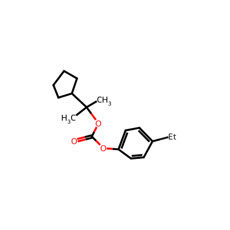 CCc1ccc(OC(=O)OC(C)(C)C2CCCC2)cc1